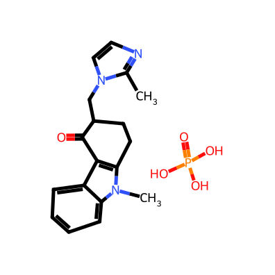 Cc1nccn1CC1CCc2c(c3ccccc3n2C)C1=O.O=P(O)(O)O